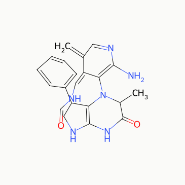 C=c1cnc(N)c(N2C3=C(NCC3c3ccccc3)NC(=O)C2C)c1=CNC=O